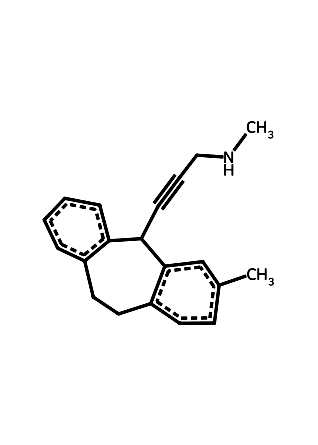 CNCC#CC1c2ccccc2CCc2ccc(C)cc21